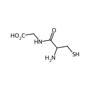 NC(CS)C(=O)NCC(=O)O